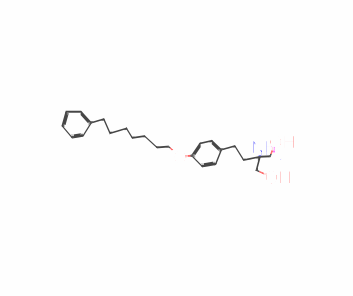 NC(CO)(CO)CCc1ccc(OCCCCCCCc2ccccc2)cc1